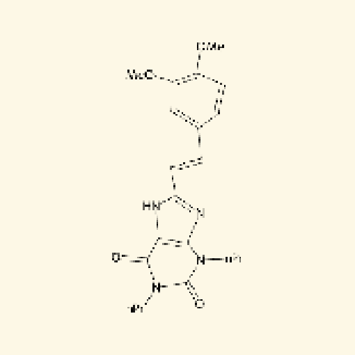 CCCn1c(=O)c2[nH]c(/C=C/c3ccc(OC)c(OC)c3)nc2n(CCC)c1=O